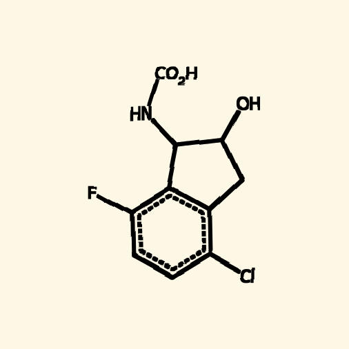 O=C(O)NC1c2c(F)ccc(Cl)c2CC1O